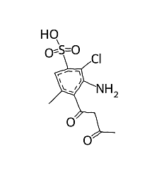 CC(=O)CC(=O)c1c(C)cc(S(=O)(=O)O)c(Cl)c1N